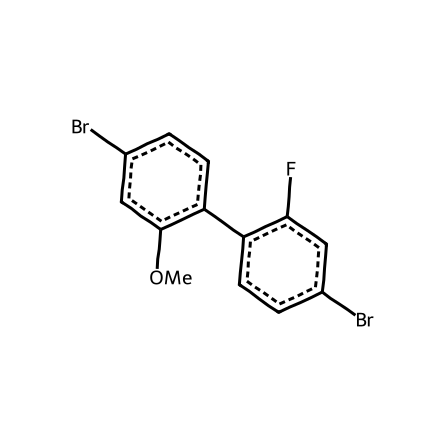 COc1cc(Br)ccc1-c1ccc(Br)cc1F